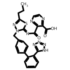 CCCc1nn(Cc2ccc(-c3ccccc3-c3nnn[nH]3)cc2)c(=NC(=O)c2nccnc2C(=O)O)s1